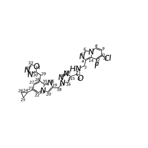 O=C(NCc1ncn2ccc(Cl)c(F)c12)c1cn(Cc2cn3cc(C4CC4)cc(Cc4nnco4)c3n2)nn1